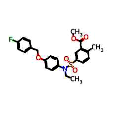 CCN(c1ccc(OCc2ccc(F)cc2)cc1)S(=O)(=O)c1ccc(C)c(C(=O)OC)c1